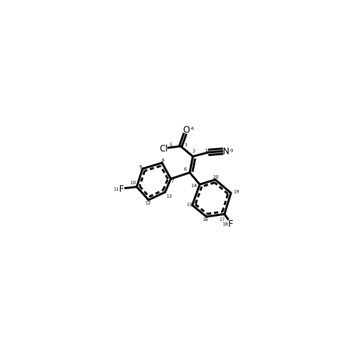 N#CC(C(=O)Cl)=C(c1ccc(F)cc1)c1ccc(F)cc1